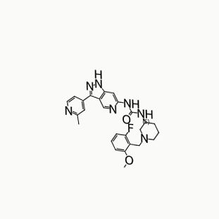 COc1cccc(F)c1CN1CCC[C@H](NC(=O)Nc2cc3[nH]nc(-c4ccnc(C)c4)c3cn2)C1